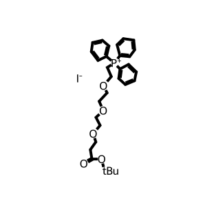 CC(C)(C)OC(=O)CCOCCOCCOCC[P+](c1ccccc1)(c1ccccc1)c1ccccc1.[I-]